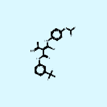 CC(=N)/C(C(=O)Nc1cccc(C(C)(F)F)c1)=C(\Nc1ccc(OC(F)F)cc1)C(C)=O